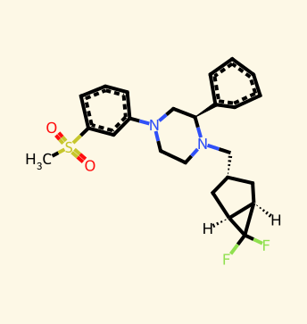 CS(=O)(=O)c1cccc(N2CCN(C[C@@H]3C[C@@H]4[C@H](C3)C4(F)F)[C@H](c3ccccc3)C2)c1